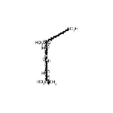 CN(CI)N[C@@H](CCCCNC(=O)COCCOCCNC(=O)COCCOCCNC(=O)CC[C@H](NC(=O)CCCCCCCCCCCCCCCCC(=O)O)C(=O)O)C(=O)O